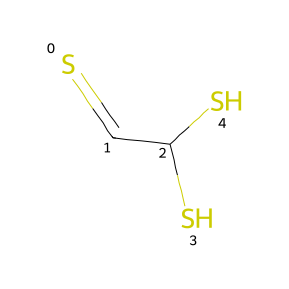 S=CC(S)S